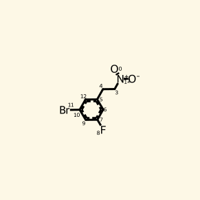 O=[N+]([O-])CCc1cc(F)cc(Br)c1